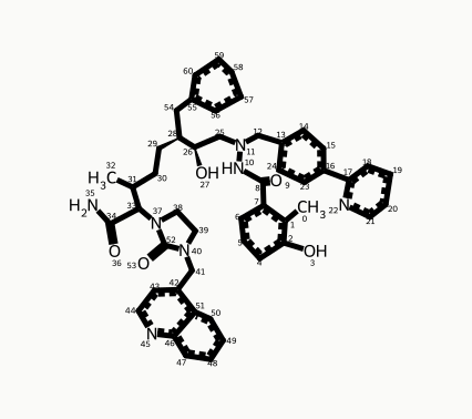 Cc1c(O)cccc1C(=O)NN(Cc1ccc(-c2ccccn2)cc1)C[C@@H](O)[C@@H](CCC(C)C(C(N)=O)N1CCN(Cc2ccnc3ccccc23)C1=O)Cc1ccccc1